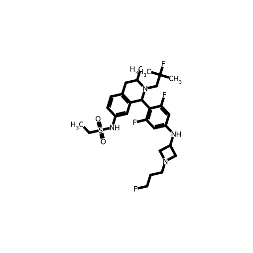 CCS(=O)(=O)Nc1ccc2c(c1)C(c1c(F)cc(NC3CN(CCCF)C3)cc1F)N(CC(C)(C)F)C(C)C2